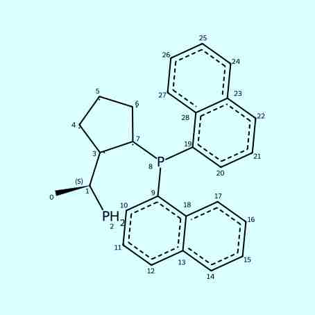 C[C@H](P)[C]1[CH][CH][CH][C]1P(c1cccc2ccccc12)c1cccc2ccccc12